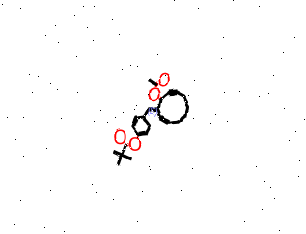 CC(=O)OC1C#CCCCCC#C/C1=C\c1ccc(OC(=O)C(C)(C)C)cc1